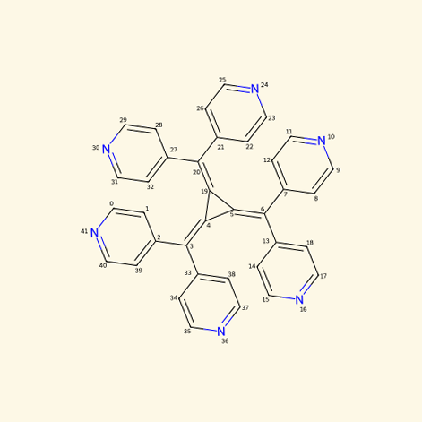 c1cc(C(=C2C(=C(c3ccncc3)c3ccncc3)C2=C(c2ccncc2)c2ccncc2)c2ccncc2)ccn1